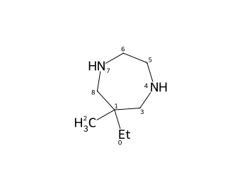 CCC1(C)CNCCNC1